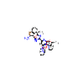 C[C@H](Oc1nc(-c2noc([C@@]3(C)CCCc4sc(N)c(C#N)c43)n2)cc(N2CC3CCC(C2)N3C(=O)OC(C)(C)C)n1)[C@@H]1CCCN1C